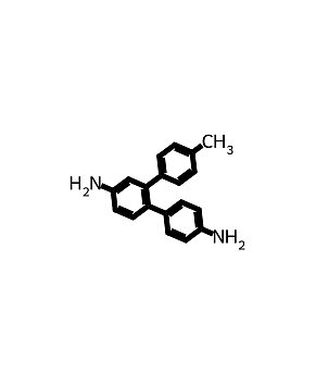 Cc1ccc(-c2cc(N)ccc2-c2ccc(N)cc2)cc1